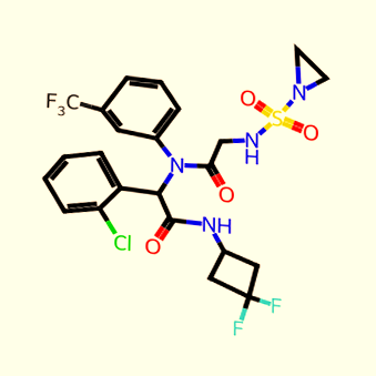 O=C(NC1CC(F)(F)C1)C(c1ccccc1Cl)N(C(=O)CNS(=O)(=O)N1CC1)c1cccc(C(F)(F)F)c1